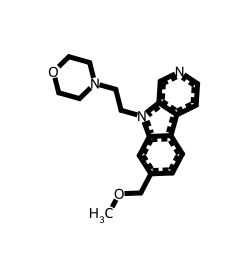 COCc1ccc2c3ccncc3n(CCN3CCOCC3)c2c1